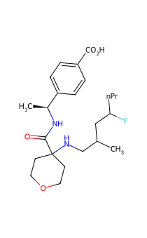 CCCC(F)CC(C)CNC1(C(=O)N[C@@H](C)c2ccc(C(=O)O)cc2)CCOCC1